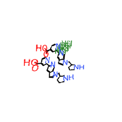 Cl.Cl.Cl.Cl.Cl.O=C(O)c1ccnc(-c2cc3ccn(CC4CCCNC4)c3cn2)c1.O=C(O)c1ccnc(-c2cc3ccn(CC4CCCNC4)c3cn2)c1